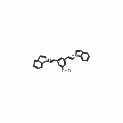 O=Cc1cc(C=C[SH]2C=Cc3ccccc32)cc(C=C[SH]2C=Cc3ccccc32)c1